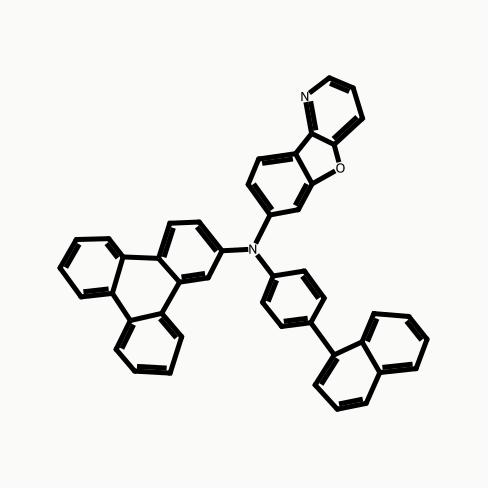 c1ccc2c(-c3ccc(N(c4ccc5c(c4)oc4cccnc45)c4ccc5c6ccccc6c6ccccc6c5c4)cc3)cccc2c1